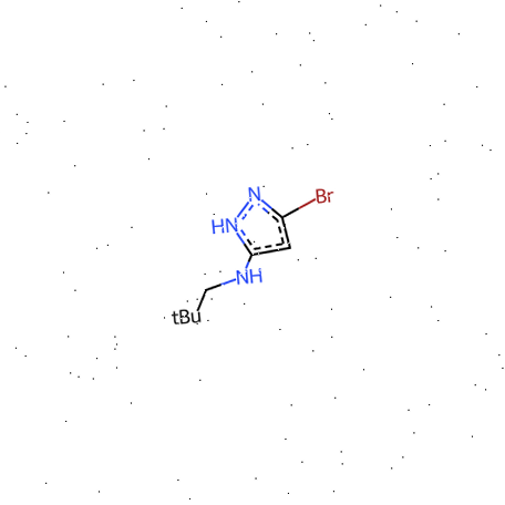 CC(C)(C)CNc1cc(Br)n[nH]1